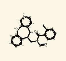 Cc1ccccc1C(=O)N(C=O)CC1Cc2ccncc2Oc2ccccc21